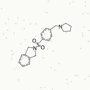 O=S(=O)(c1ccc(CN2CCCC2)cc1)N1Cc2ccccc2C1